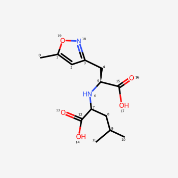 Cc1cc(C[C@H](NC(CC(C)C)C(=O)O)C(=O)O)no1